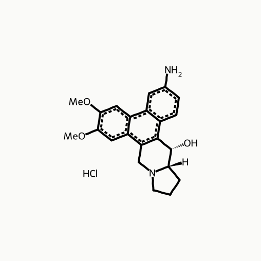 COc1cc2c3c(c4ccc(N)cc4c2cc1OC)[C@H](O)[C@@H]1CCCN1C3.Cl